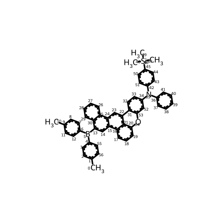 Cc1ccc(B(c2ccc(C)cc2)c2cc3c4cccc5c4c(cc3c3ccccc23)-c2ccc(N(c3ccccc3)c3ccc([Si](C)(C)C)cc3)cc2O5)cc1